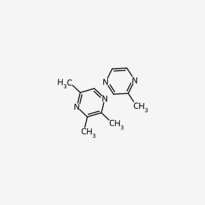 Cc1cnc(C)c(C)n1.Cc1cnccn1